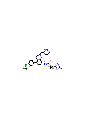 Cc1noc([C@H]2C[C@@H]2C(=O)NCc2ccc(-c3cccc(OC(F)(F)F)c3)c3c2CN(Cc2ccncn2)CC3)n1